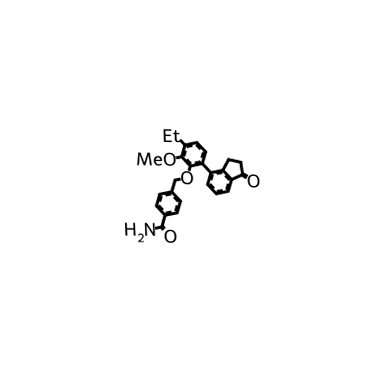 CCc1ccc(-c2cccc3c2CCC3=O)c(OCc2ccc(C(N)=O)cc2)c1OC